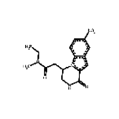 CN(CP)C(=O)CC1CNC(=O)c2cc3cc([N+](=O)[O-])ccc3n21